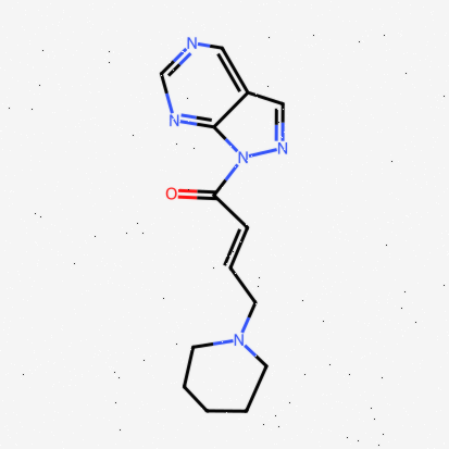 O=C(C=CCN1CCCCC1)n1ncc2cncnc21